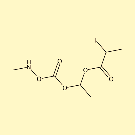 CNOC(=O)OC(C)OC(=O)C(C)I